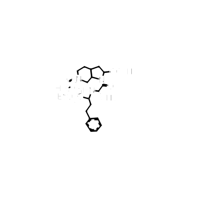 CCOC(=O)C(CCc1ccccc1)N[C@@H](C)C(=O)N1C(C(=O)O)CC2CCN(S(C)(=O)=O)CC21